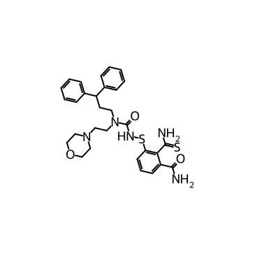 NC(=O)c1cccc(SNC(=O)N(CCC(c2ccccc2)c2ccccc2)CCN2CCOCC2)c1C(N)=S